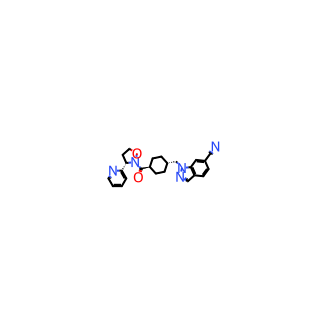 N#Cc1ccc2cnn(C[C@H]3CC[C@H](C(=O)N4OCC[C@H]4c4ccccn4)CC3)c2c1